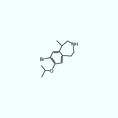 CC(C)Oc1cc2c(cc1Br)C(C)CNCC2